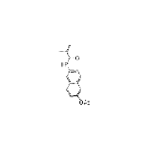 C=C(C)C(=O)Pc1ccc2cc(OC(C)=O)ccc2c1